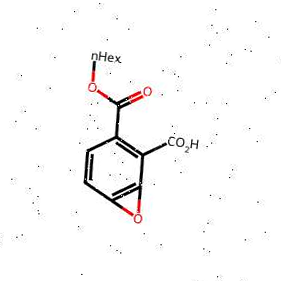 CCCCCCOC(=O)c1ccc2c(c1C(=O)O)O2